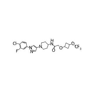 O=C(COC1CC(OC(F)(F)F)C1)NC1CCN(c2cnn(-c3ccc(Cl)c(F)c3)c2)CC1